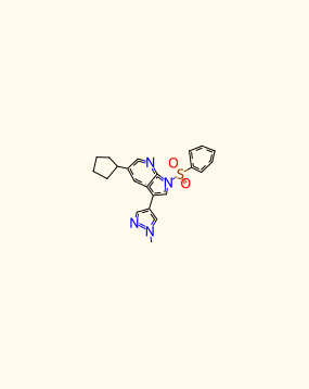 Cn1cc(-c2cn(S(=O)(=O)c3ccccc3)c3ncc(C4CCCC4)cc23)cn1